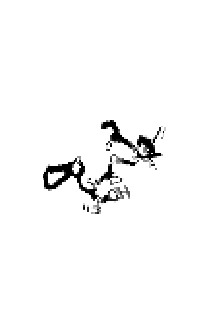 C=CC(=O)N1C[C@@H]2C[C@@H]2[C@@H]1COC(=O)NC(Cc1coc2ccccc12)B(O)O